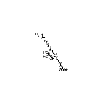 CCCCCCCCCCCCCCCCCCCCCCC(=O)O.OCC(O)CO